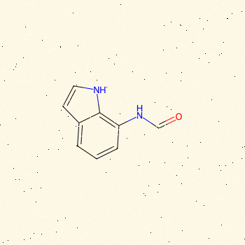 O=CNc1cccc2cc[nH]c12